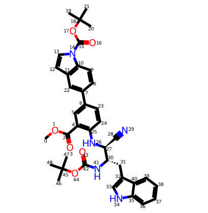 COC(=O)c1cc(-c2ccc3c(ccn3C(=O)OC(C)(C)C)c2)ccc1N[C@@H](C#N)[C@H](Cc1c[nH]c2ccccc12)NC(=O)OC(C)(C)C